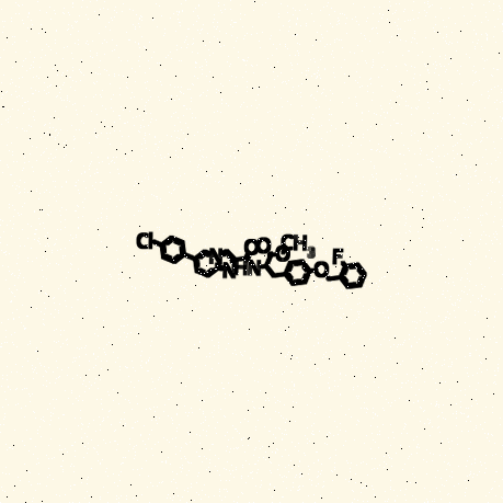 COC(=O)C(Cc1ccc(OCc2ccccc2F)cc1)NC(=O)c1cn2cc(-c3ccc(Cl)cc3)ccc2n1